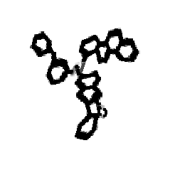 c1ccc(-c2cccc(N(c3ccc4cc5oc6ccccc6c5cc4c3)c3cccc4c3ccc3c5ccccc5ccc43)c2)cc1